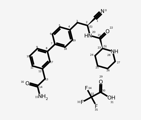 N#C[C@H](Cc1ccc(-c2cccc(CC(N)=O)c2)cc1)NC(=O)[C@@H]1CCCCN1.O=C(O)C(F)(F)F